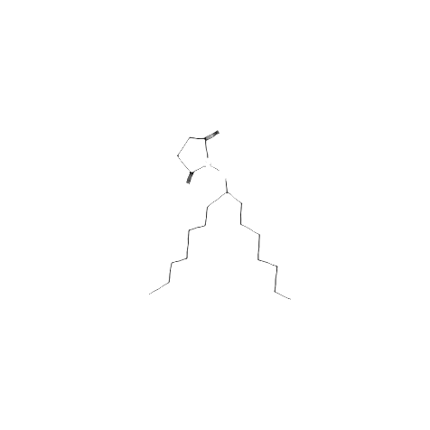 CCCCCCCC(CCCCCCC)ON1C(=O)CCC1=O